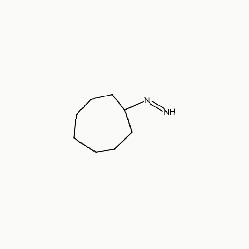 N=NC1CCCCCCC1